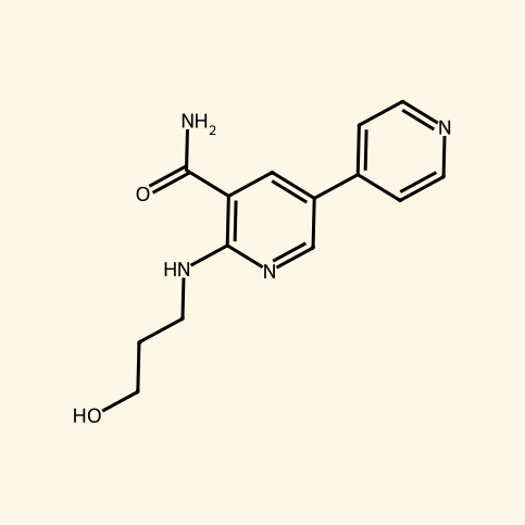 NC(=O)c1cc(-c2ccncc2)cnc1NCCCO